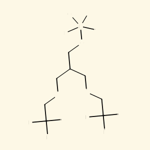 OP(O)(F)(F)OCC(COCC(F)(F)F)COCC(F)(F)F